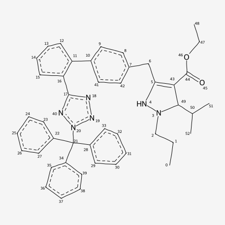 CCCN1NC(Cc2ccc(-c3ccccc3-c3nnn(C(c4ccccc4)(c4ccccc4)c4ccccc4)n3)cc2)=C(C(=O)OCC)C1C(C)C